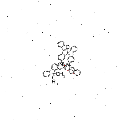 CC1(C)c2ccccc2-c2ccc(N(c3ccc(-c4ccccc4)cc3)c3ccc4c(c3)C3(c5ccccc5-c5ccc(N(c6ccccc6)c6ccccc6)cc53)c3oc5ccccc5c3-4)cc21